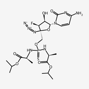 CC(C)OC(=O)[C@H](C)NP(=S)(N[C@@H](C)C(=O)OC(C)C)OC[C@@]1(N=[N+]=[N-])O[C@@H](n2ccc(N)nc2=O)[C@H](O)[C@@H]1F